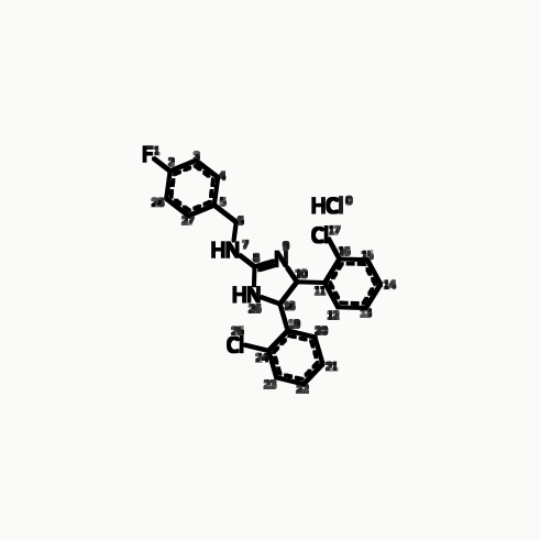 Cl.Fc1ccc(CNC2=NC(c3ccccc3Cl)C(c3ccccc3Cl)N2)cc1